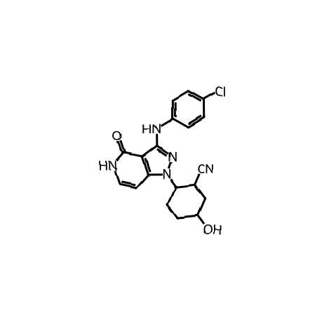 N#CC1CC(O)CCC1n1nc(Nc2ccc(Cl)cc2)c2c(=O)[nH]ccc21